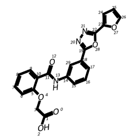 O=C(O)COc1ccccc1C(=O)Nc1cccc(-c2nnc(-c3ccco3)o2)c1